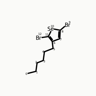 CCCCCCc1cc(Br)[se]c1Br